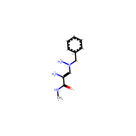 CNC(=O)/C(N)=C/N(N)Cc1ccccc1